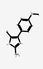 COc1ccc(-c2nc(N)sc2C)cc1